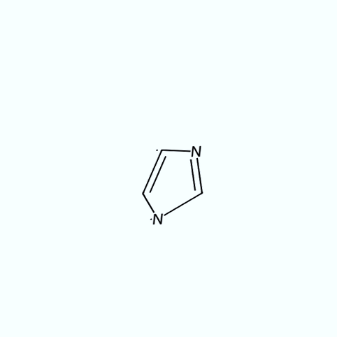 [C]1=C[N]C=N1